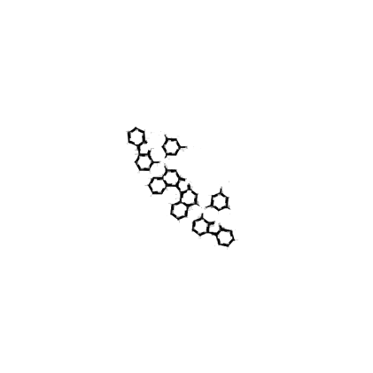 Cc1cc(C)cc(N(c2cc3sc4cc(N(c5cc(C)cc(C)c5)c5cccc6c5oc5ccccc56)c5ccccc5c4c3c3ccccc23)c2cccc3c2oc2ccccc23)c1